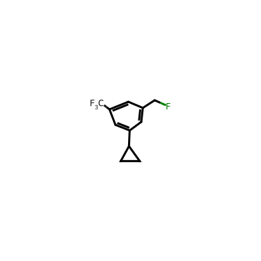 FCc1cc(C2CC2)cc(C(F)(F)F)c1